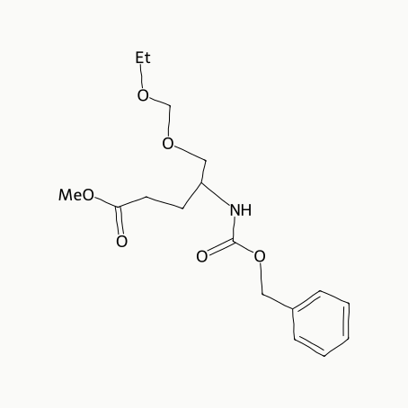 CCOCOCC(CCC(=O)OC)NC(=O)OCc1ccccc1